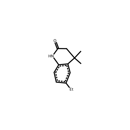 CCc1ccc2c(c1)C(C)(C)CC(=O)N2